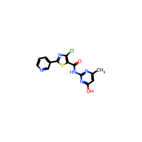 Cc1cc(O)nc(NC(=O)c2sc(-c3cccnc3)nc2Cl)n1